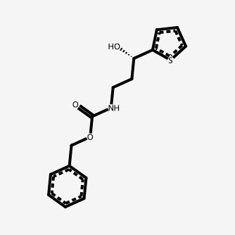 O=C(NCC[C@H](O)c1cccs1)OCc1ccccc1